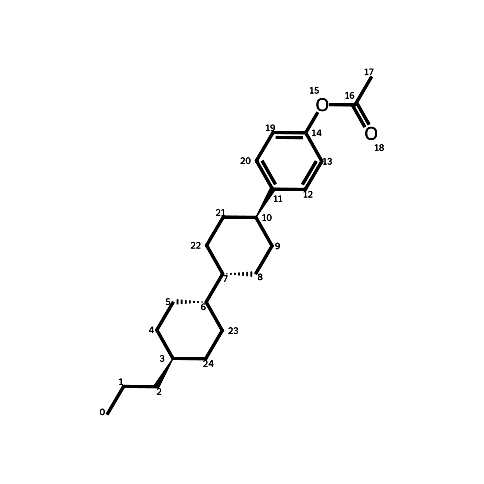 CCC[C@H]1CC[C@H]([C@H]2CC[C@H](c3ccc(OC(C)=O)cc3)CC2)CC1